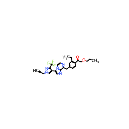 C#CCn1cc(-c2cnc3c(Cc4ccc(C(=O)COCCC)c(CC)c4)nccn23)c(C(F)(F)F)n1